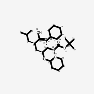 CC(C)C[C@H](C[C@H](OC1CCCCO1)[C@H](CC1CCCCC1)NC(=O)OC(C)(C)C)C(=O)O